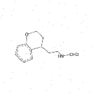 O=CNCCC1CCOc2ccccc21